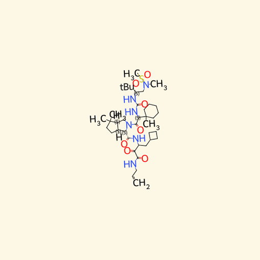 C=CCNC(=O)C(=O)C(CC1CCC1)NC(=O)[C@@H]1[C@H]2CCC(C)(C)[C@H]2CN1C(=O)[C@@H](NC(=O)N[C@H](CN(C)S(C)(=O)=O)C(C)(C)C)C1(C)CCCCC1